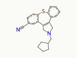 N#Cc1ccc2c(c1)C1=C(CN(CC3CCCC3)C1)c1ccccc1S2